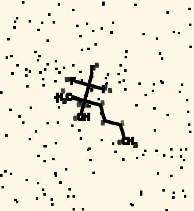 CCCC[C@](C)(O)C(F)(F)F